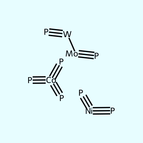 [P]#[Co](#[P])#[P].[P]#[Mo][W]#[P].[P]#[Ni]#[P]